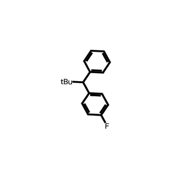 CC(C)(C)[C](c1ccccc1)c1ccc(F)cc1